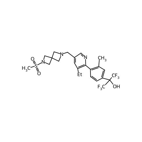 CCc1cc(CN2CC3(C2)CN(S(C)(=O)=O)C3)cnc1-c1ccc(C(O)(C(F)(F)F)C(F)(F)F)cc1C